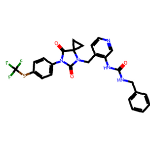 O=C(NCc1ccccc1)Nc1cnccc1CN1C(=O)N(c2ccc(SC(F)(F)F)cc2)C(=O)C12CC2